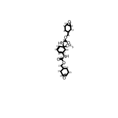 CC1(NC(=O)OCC2CCC3OC3C2)C=CC=C(NC(=O)OCC2CCC3OC3C2)C1